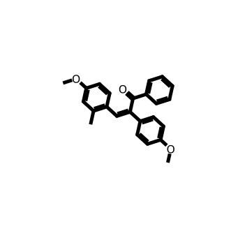 COc1ccc(/C(=C/c2ccc(OC)cc2C)C(=O)c2ccccc2)cc1